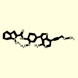 COCC#Cc1cnc(N)c2c(-c3ccc(NC(=O)c4cc5ccccc5n4C)c(OC)c3)csc12